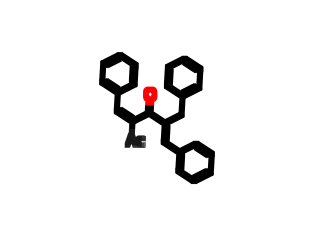 CC(=O)C(=Cc1ccccc1)C(=O)C(=Cc1ccccc1)Cc1ccccc1